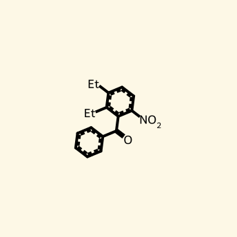 CCc1ccc([N+](=O)[O-])c(C(=O)c2ccccc2)c1CC